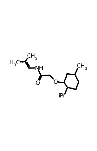 CC(C)=CNC(=O)COC1CC(C)CCC1C(C)C